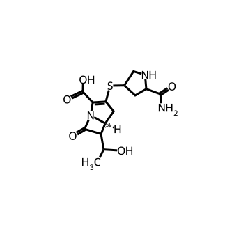 CC(O)C1C(=O)N2C(C(=O)O)=C(SC3CNC(C(N)=O)C3)C[C@@H]12